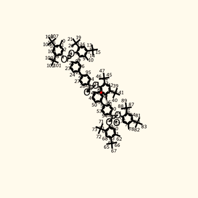 Cc1cc(OP(Oc2cc(C)c(C(C)(C)C)cc2C(C)(C)C)c2ccc(-c3ccc(P(=O)(Oc4cc(C)c(C(C)(C)C)cc4C(C)(C)C)c4ccc(-c5ccc(P(=O)(Oc6cc(C)c(C(C)(C)C)cc6C(C)(C)C)Oc6cc(C)c(C(C)(C)C)cc6C(C)(C)C)cc5)cc4)cc3)cc2)c(C(C)(C)C)cc1C(C)(C)C